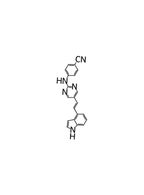 N#Cc1ccc(Nc2ncc(/C=C/c3cccc4[nH]ccc34)cn2)cc1